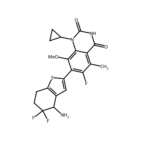 COc1c(-c2cc3c(s2)CCC(F)(F)C3N)c(F)c(C)c2c(=O)[nH]c(=O)n(C3CC3)c12